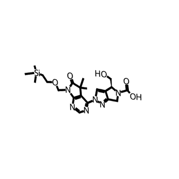 CC1(C)C(=O)N(COCC[Si](C)(C)C)c2ncnc(-n3cc4c(n3)CN(C(=O)O)[C@@H]4CO)c21